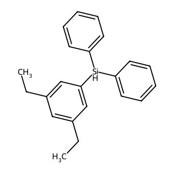 CCc1cc(CC)cc([SiH](c2ccccc2)c2ccccc2)c1